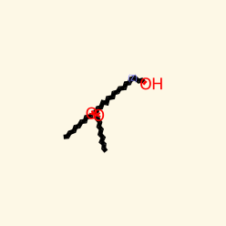 CCCCCCCCCCOC(CCCCCCCCCCCC/C=C\CCO)OCCCCCCCCCC